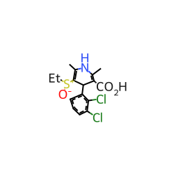 CC[S+]([O-])C1=C(C)NC(C)=C(C(=O)O)C1c1cccc(Cl)c1Cl